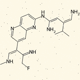 CN/C=C(\C(=N)CF)c1cnc2ccc(N/C(N)=C/C(=C\N)C(C)C)nc2c1